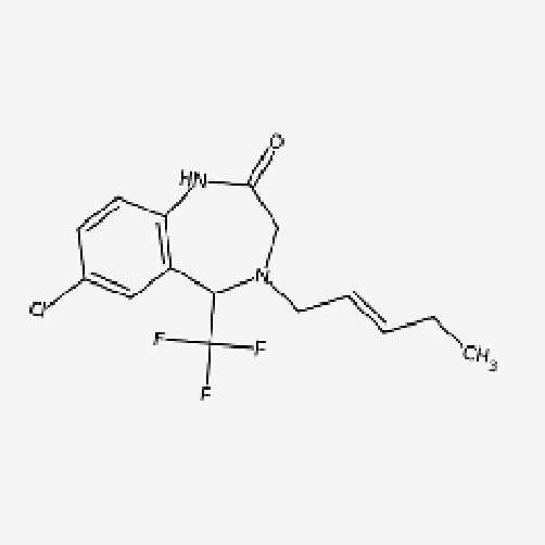 CCC=CCN1CC(=O)Nc2ccc(Cl)cc2C1C(F)(F)F